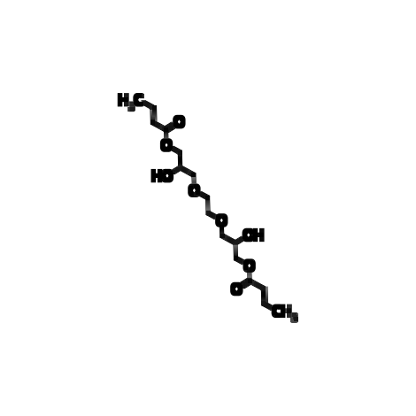 CC=CC(=O)OCC(O)COCCOCC(O)COC(=O)C=CC